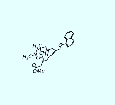 COC(=O)CCCCC=C(CNCC(C)(C)CN(C)C)COc1cccc2ccccc12